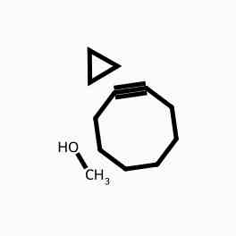 C1#CCCCCCC1.C1CC1.CO